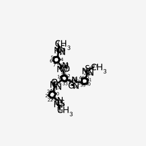 Cc1nc(-c2cccc(-c3noc(-c4cc(-c5nc(-c6cccc(-c7nsc(C)n7)c6)no5)cc(-c5nc(-c6cccc(-c7nsc(C)n7)c6)no5)c4)n3)c2)ns1